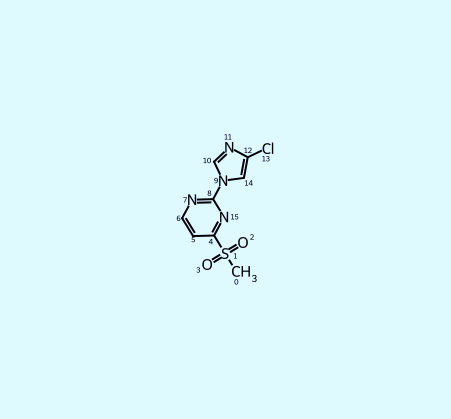 CS(=O)(=O)c1ccnc(-n2cnc(Cl)c2)n1